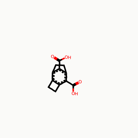 O=C(O)c1c2c(c3c(C(=O)O)c1CC3)CC2